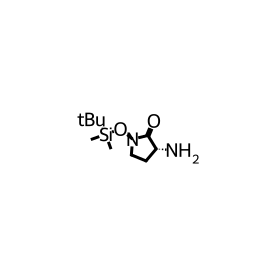 CC(C)(C)[Si](C)(C)ON1CC[C@@H](N)C1=O